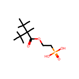 CC(C)(C)C(C)(C(=O)OCCP(=O)(O)O)C(C)(C)C